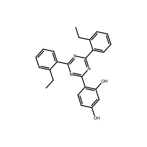 CCc1ccccc1-c1nc(-c2ccc(O)cc2O)nc(-c2ccccc2CC)n1